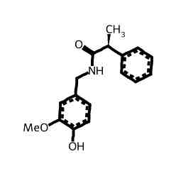 COc1cc(CNC(=O)[C@@H](C)c2ccccc2)ccc1O